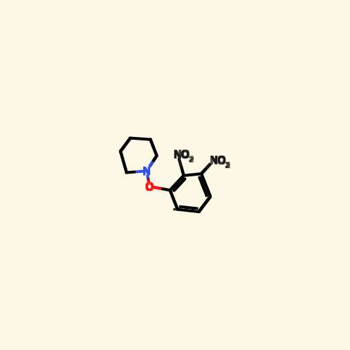 O=[N+]([O-])c1cc[c]c(ON2CCCCC2)c1[N+](=O)[O-]